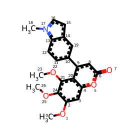 COc1cc2oc(=O)cc(-c3ccc4c(ccn4C)c3)c2c(OC)c1OC